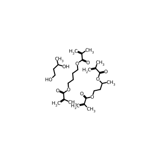 C=C(C)C(=O)OCCC(C)OC(=O)C(=C)C.C=C(C)C(=O)OCCCCOC(=O)C(=C)C.CC(O)CCO